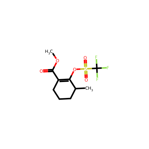 COC(=O)C1=C(OS(=O)(=O)C(F)(F)F)C(C)CCC1